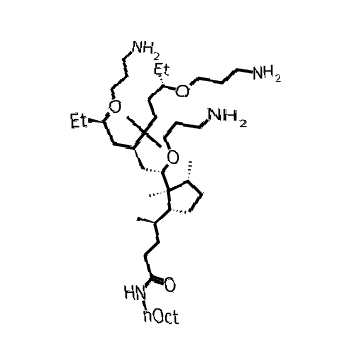 CCCCCCCCNC(=O)CC[C@@H](C)[C@H]1CC[C@@H](C)[C@]1(C)[C@H](C[C@@H](C[C@@H](CC)OCCCN)C(C)(C)CC[C@H](CC)OCCCN)OCCCN